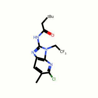 Cc1cc2nc(NC(=O)CC(C)(C)C)n(CC(F)(F)F)c2nc1Cl